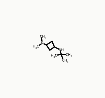 CN(C)C1CC(NC(C)(C)C)C1